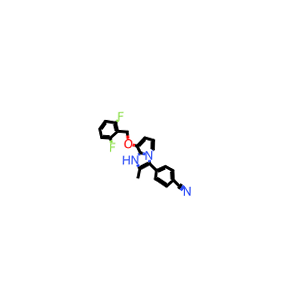 CC1=C(c2ccc(C#N)cc2)N2C=CC=C(OCc3c(F)cccc3F)C2N1